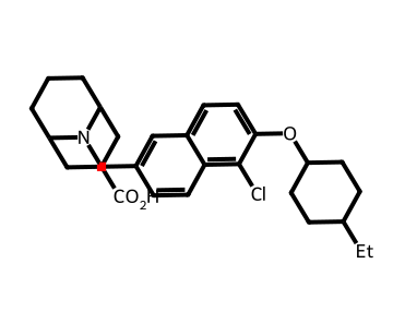 CCC1CCC(Oc2ccc3cc(CN4C5CCCC4CC(C(=O)O)C5)ccc3c2Cl)CC1